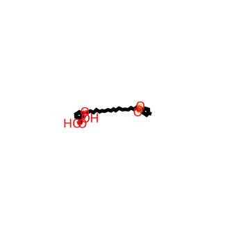 Cc1ccc(S(=O)(=O)CCCCCCCCCCCCCCCCCCOc2cccc(C(=O)O)c2O)cc1